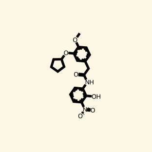 COc1ccc(CC(=O)Nc2cccc([N+](=O)[O-])c2O)cc1OC1CCCC1